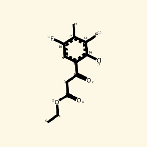 CCOC(=O)CC(=O)c1cc(F)c(C)c(F)c1Cl